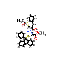 COC(=O)[C@H](CSC(c1ccccc1)(c1ccccc1)c1ccccc1)NC(=O)[C@@H](CSC(C)=O)Cc1ccccc1